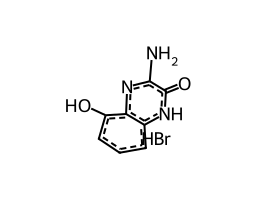 Br.Nc1nc2c(O)cccc2[nH]c1=O